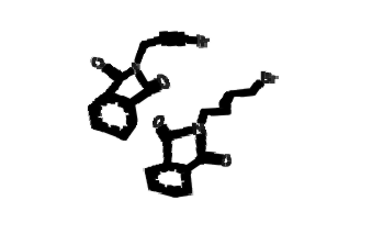 O=C1c2ccccc2C(=O)N1CC#CBr.O=C1c2ccccc2C(=O)N1CC=CCBr